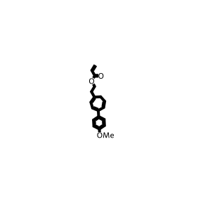 C=CC(=O)OCCC1=CC=C(c2ccc(OC)cc2)C=CC1